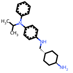 CC(C)N(c1ccccc1)c1ccc(NC[C@H]2CC[C@H](N)CC2)cc1